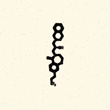 O=C1c2ccc(CCC(F)(F)F)cc2OCCN1C[C@H](O)CN1CCc2ccccc2C1